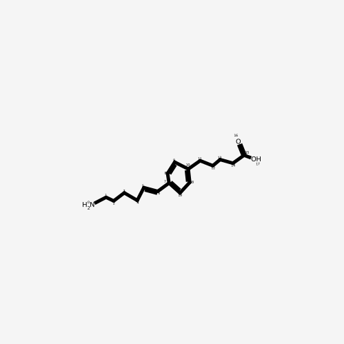 NCCCCC=Cc1ccc(CCCCC(=O)O)cc1